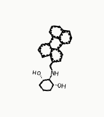 O[C@@H]1CCC[C@H](O)[C@H]1NCc1ccc2c3cccc4cccc(c5cccc1c52)c43